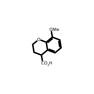 COc1cccc2c1OCCC2C(=O)O